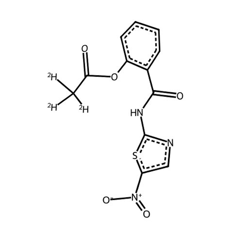 [2H]C([2H])([2H])C(=O)Oc1ccccc1C(=O)Nc1ncc([N+](=O)[O-])s1